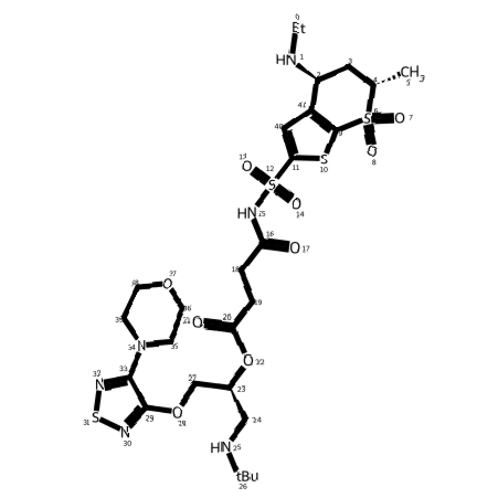 CCN[C@H]1C[C@H](C)S(=O)(=O)c2sc(S(=O)(=O)NC(=O)CCC(=O)O[C@@H](CNC(C)(C)C)COc3nsnc3N3CCOCC3)cc21